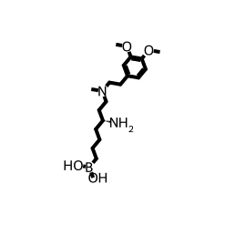 COc1ccc(CCN(C)CC[C@H](N)CCCCB(O)O)cc1OC